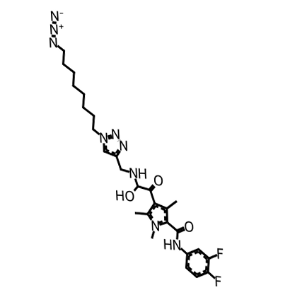 Cc1c(C(=O)C(O)NCc2cn(CCCCCCCCN=[N+]=[N-])nn2)c(C)n(C)c1C(=O)Nc1ccc(F)c(F)c1